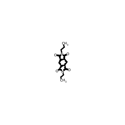 CCCn1c(=O)c2cc3c(=O)n(CCC)c(=O)c3cc2c1=O